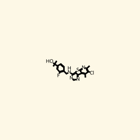 Cc1nc2sc3c(NCc4ccc(C(C)(C)O)cc4F)ncnc3c2c(C)c1Cl